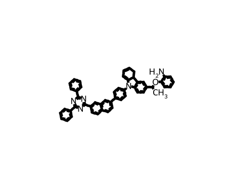 CC(Oc1ccccc1N)c1ccc2c(c1)C1CC=CC=C1N2c1ccc(-c2ccc3ccc(-c4nc(-c5ccccc5)nc(-c5ccccc5)n4)cc3c2)cc1